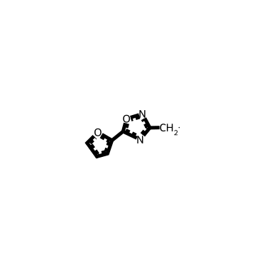 [CH2]c1noc(-c2ccco2)n1